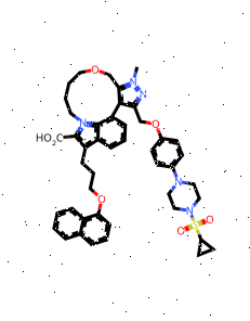 Cn1nc(COc2ccc(N3CCN(S(=O)(=O)C4CC4)CC3)cc2)c2c1COCCCCn1c(C(=O)O)c(CCCOc3cccc4ccccc34)c3cccc-2c31